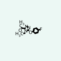 CCn1c(Oc2ccc(F)cc2)nnc1C(C)=O